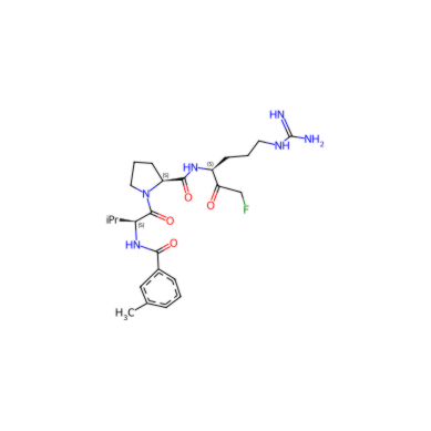 Cc1cccc(C(=O)N[C@H](C(=O)N2CCC[C@H]2C(=O)N[C@@H](CCCNC(=N)N)C(=O)CF)C(C)C)c1